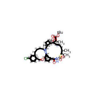 C[C@@H]1[C@@H](C)C/C=C/[C@@](O)([C@@H](C)C(=O)OC(C)(C)C)[C@@H]2CC[C@H]2CN2CCCCc3cc(Cl)ccc3COc3ccc(cc32)C(=O)NS1(=O)=O